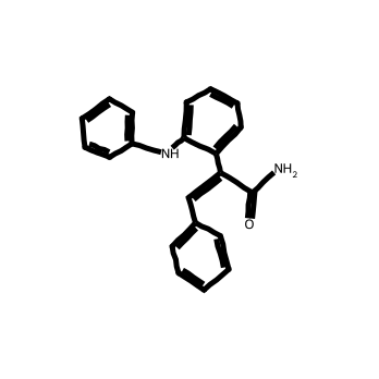 NC(=O)C(=Cc1ccccc1)c1ccccc1Nc1ccccc1